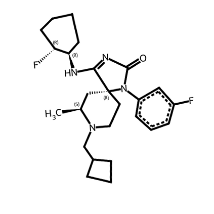 C[C@H]1C[C@]2(CCN1CC1CCC1)C(N[C@@H]1CCCC[C@H]1F)=NC(=O)N2c1cccc(F)c1